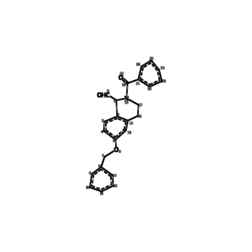 O=CC1c2ccc(OCc3ccccc3)cc2CCN1C(=O)c1ccccc1